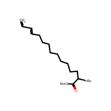 C=CC=CCCCCCCCCCC(CCCC)C(=O)OC